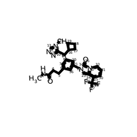 CNC(=O)CCc1cc([C@H](c2nncn2C)C2CCC2)cc(-n2cc3c(C(F)(F)F)cccn3c2=O)c1